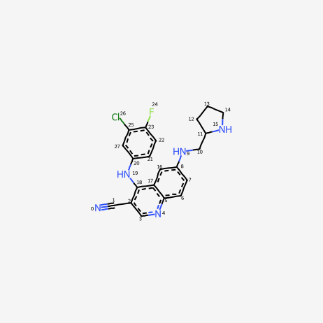 N#Cc1cnc2ccc(NCC3CCCN3)cc2c1Nc1ccc(F)c(Cl)c1